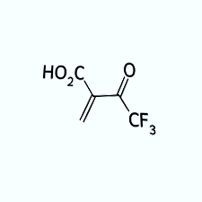 C=C(C(=O)O)C(=O)C(F)(F)F